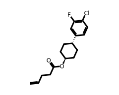 C=CCCC(=O)O[C@H]1CC[C@H](c2ccc(Cl)c(F)c2)CC1